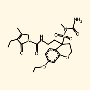 CCOc1ccc2c(c1)OCCC2(CCNC(=O)N1CC(C)=C(CC)C1=O)S(=O)(=O)N(C)C(N)=O